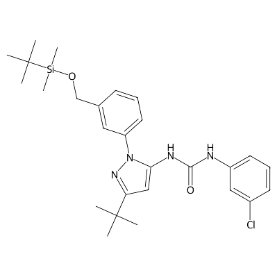 CC(C)(C)c1cc(NC(=O)Nc2cccc(Cl)c2)n(-c2cccc(CO[Si](C)(C)C(C)(C)C)c2)n1